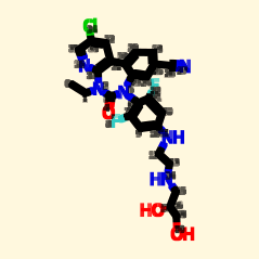 CCN1C(=O)N(c2c(F)cc(NCCNC[C@@H](O)CO)cc2F)c2cc(C#N)ccc2-c2cc(Cl)cnc21